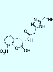 NCc1nnc(CC(=O)N[C@H]2Cc3cccc(C(=O)O)c3OB2O)[nH]1